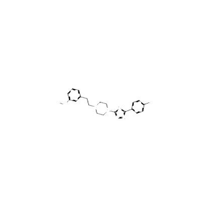 CCOc1cccc(CCN2CCN(c3nc(-c4ccc(Cl)cc4)no3)CC2)c1